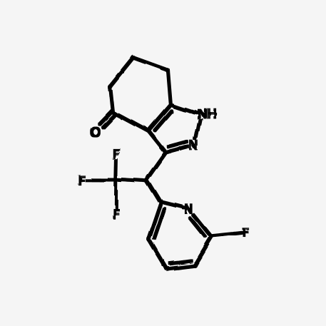 O=C1CCCc2[nH]nc(C(c3cccc(F)n3)C(F)(F)F)c21